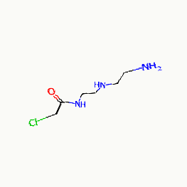 NCCNCCNC(=O)CCl